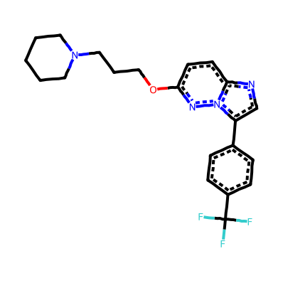 FC(F)(F)c1ccc(-c2cnc3ccc(OCCCN4CCCCC4)nn23)cc1